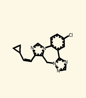 Clc1ccc2c(c1)-c1ncnn1Cc1c(/C=C\C3CC3)ncn1-2